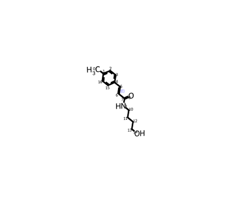 Cc1ccc(/C=C/C(=O)NCCCCO)cc1